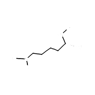 CCN(CC)CCCC[C@H](NO)C(=O)O